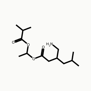 CC(C)CC(CN)CC(=O)OC(C)OC(=O)C(C)C